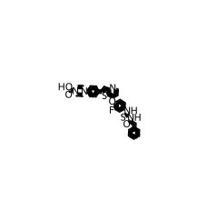 O=C(Cc1ccccc1)NC(=S)Nc1ccc(Oc2ccnc3cc(-c4ccc(N5CCN(C(=O)O)CC5)cc4)sc23)c(F)c1